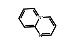 c1cc[n+]2cccnc2c1